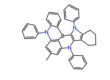 Cc1cc2c3c(c1)N(c1ccccc1)c1c4c(n(-c5ccccc5)c1B3c1ccccc1N2c1ccccc1)CCCC4